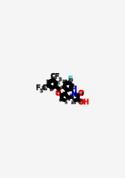 O=C1N[C@@H]([C@@H]2CC[C@H](OCc3cc(C(F)(F)F)cc(C(F)(F)F)c3)[C@H]2c2ccc(F)cc2)C[C@H]1O